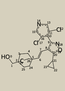 OCC12CCC(/C=C/c3c(-c4c(Cl)cncc4Cl)noc3C3CC3)(CC1)CC2